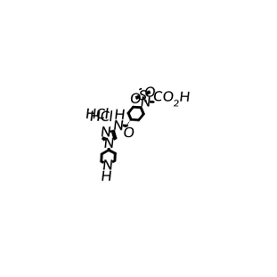 CS(=O)(=O)N(CC(=O)O)[C@H]1CC[C@H](C(=O)Nc2cn(C3CCNCC3)cn2)CC1.Cl.Cl